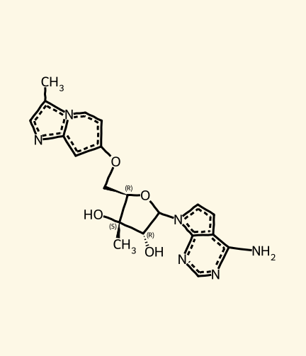 Cc1cnc2cc(OC[C@H]3OC(n4ccc5c(N)ncnc54)[C@H](O)[C@]3(C)O)ccn12